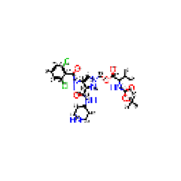 CC(C)C(NC(=O)OC(C)(C)C)C(=O)OCn1cc(NC(=O)c2c(Cl)cccc2Cl)c(C(=O)NC2CCNCC2)n1